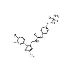 NS(=O)(=O)NCc1ccc(NC(=O)NCc2cc(C(F)(F)F)nn2-c2ccc(F)c(F)c2)cc1